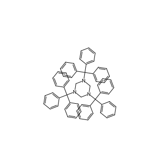 c1ccc(C(c2ccccc2)(c2ccccc2)N2CN(C(c3ccccc3)(c3ccccc3)c3ccccc3)CN(C(c3ccccc3)(c3ccccc3)c3ccccc3)C2)cc1